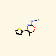 CC1=C(c2cccs2)N=C(NC(C)(C)C)OC1